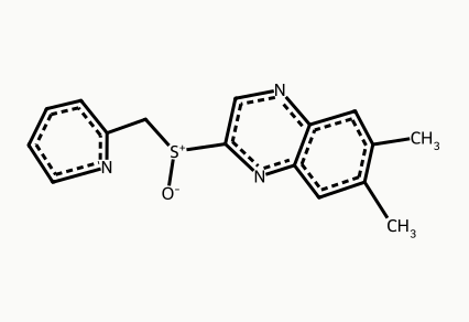 Cc1cc2ncc([S+]([O-])Cc3ccccn3)nc2cc1C